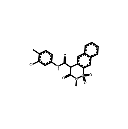 Cc1ccc(NC(=O)C2C(=O)N(C)S(=O)(=O)c3cc4ccccc4cc32)cc1Cl